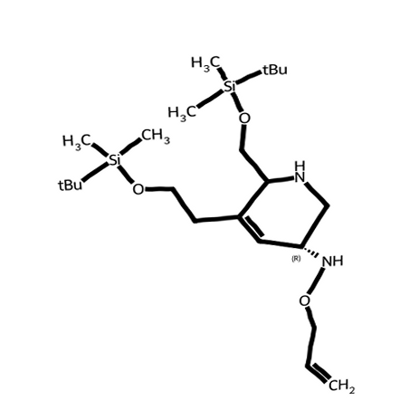 C=CCON[C@@H]1C=C(CCO[Si](C)(C)C(C)(C)C)C(CO[Si](C)(C)C(C)(C)C)NC1